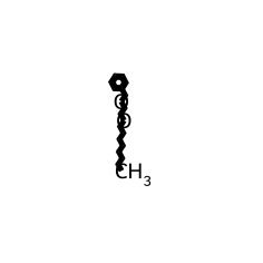 CCCCCCCCOCCOCc1ccccc1